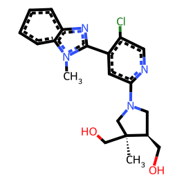 Cn1c(-c2cc(N3C[C@@H](CO)[C@@](C)(CO)C3)ncc2Cl)nc2ccccc21